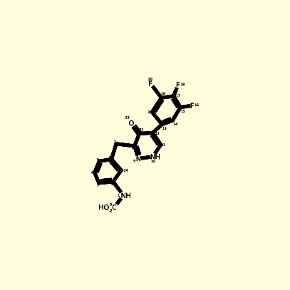 O=C(O)Nc1cccc(Cc2n[nH]cc(-c3cc(F)c(F)c(F)c3)c2=O)c1